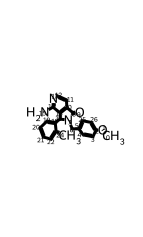 COc1ccc(CN2C(=O)c3ccnc(N)c3C2c2ccccc2C)cc1